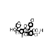 CCC(O)(c1cc(F)c2c(c1)C(=O)N([C@@H](CC(=O)O)c1ccc(Cl)cc1)C2(O)c1ccc(Cl)cc1)C1CCOCC1